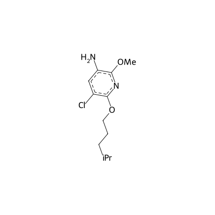 COc1nc(OCCCC(C)C)c(Cl)cc1N